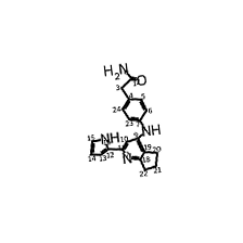 NC(=O)Cc1ccc(Nc2cc(-c3ccc[nH]3)nc3c2CCC3)cc1